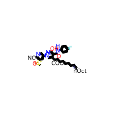 CCCCCCCC/C=C\CCCCCCC(C(=O)[O-])c1c[n+](-c2cnc(C#N)c([S+](C)[O-])c2)nc(O)c1C(=O)Nc1ccc(F)cc1